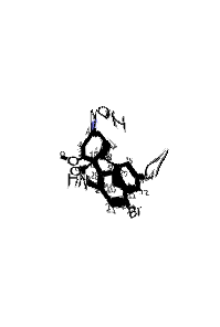 CO[C@H]1C/C(=N/O)C[C@@H](c2cccc(Cl)c2)[C@@]12C(=O)Nc1cc(Br)ccc12